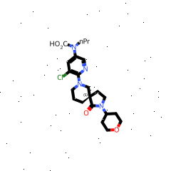 CCCN(C(=O)O)c1cnc(N2CCC[C@]3(CCN(C4CCOCC4)C3=O)C2)c(Cl)c1